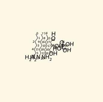 CCCCCCN.CCCCCCN.CCCCCCN.O=P(O)(O)O.OCC(O)CO